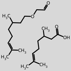 CC(C)=CCCC(C)CC(=O)O.CC(C)=CCCC(C)CCOCC=O